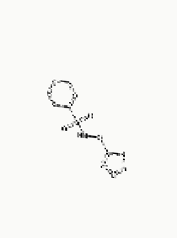 O=S(=O)(NOc1ncns1)c1ccccc1